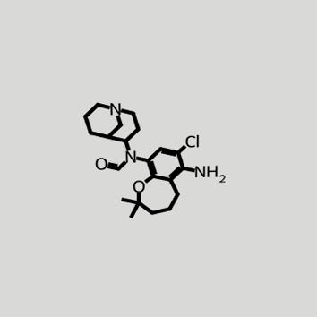 CC1(C)CCCc2c(N)c(Cl)cc(N(C=O)C3CCN4CCCC3C4)c2O1